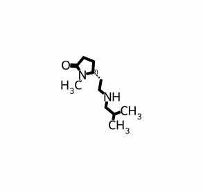 CC(C)CNCC[C@H]1CCC(=O)N1C